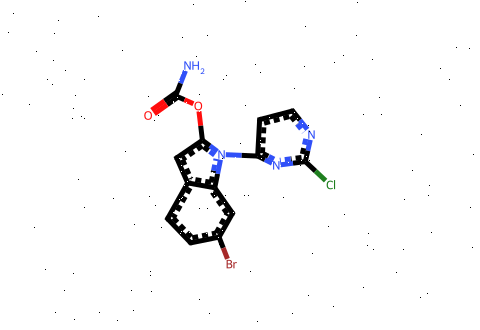 NC(=O)Oc1cc2ccc(Br)cc2n1-c1ccnc(Cl)n1